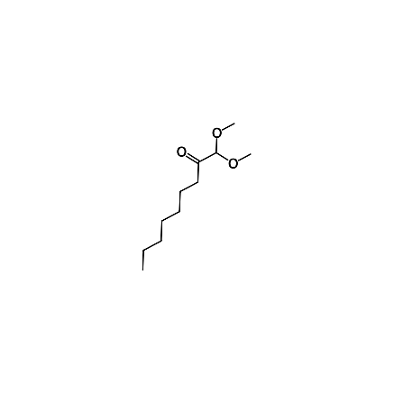 CCCCCCCC(=O)C(OC)OC